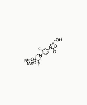 COC1(OC)CCN(c2ccc(N3C[C@H](CO)OC3=O)cc2F)CC1F